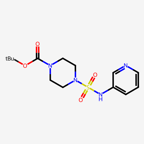 CC(C)(C)OC(=O)N1CCN(S(=O)(=O)Nc2cccnc2)CC1